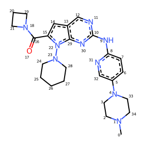 CN1CCN(c2ccc(Nc3ncc4cc(C(=O)N5CCC5)n(N5CCCCC5)c4n3)nc2)CC1